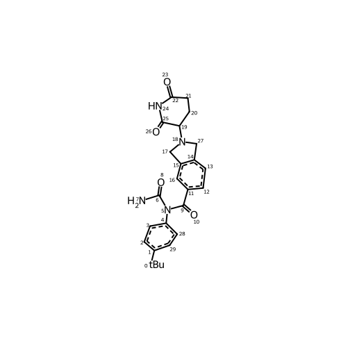 CC(C)(C)c1ccc(N(C(N)=O)C(=O)c2ccc3c(c2)CN(C2CCC(=O)NC2=O)C3)cc1